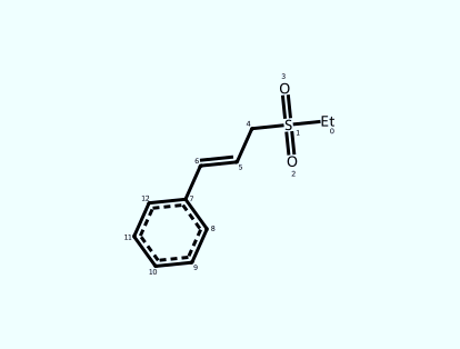 CCS(=O)(=O)CC=Cc1ccccc1